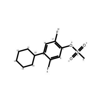 CS(=O)(=O)Oc1cc(F)c(C2CCCCC2)cc1F